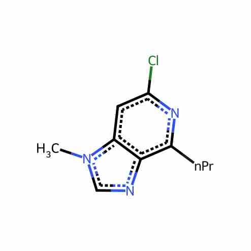 CCCc1nc(Cl)cc2c1ncn2C